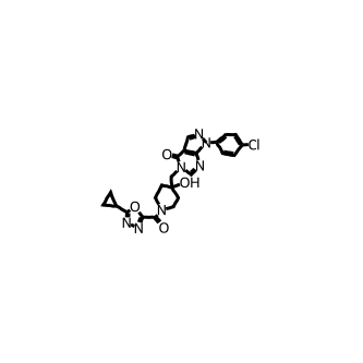 O=C(c1nnc(C2CC2)o1)N1CCC(O)(Cn2cnc3c(cnn3-c3ccc(Cl)cc3)c2=O)CC1